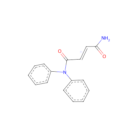 NC(=O)/C=C/C(=O)N(c1ccccc1)c1ccccc1